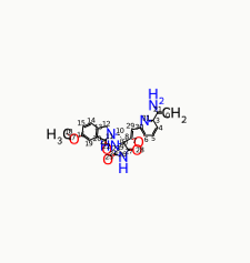 C=C(N)c1ccc2oc([C@]3(CN4Cc5ccc(OC)cc5C4=O)NC(=O)NC3=O)cc2n1